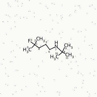 CC(C)(F)CCCNC(C)(C)C